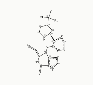 O=C1NC(=C=S)N(Cc2ccccc2[C@@H]2C[C@@H](C(F)(F)F)CCN2)c2cc[nH]c21